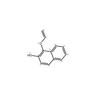 C=COc1c(O)ccc2ccccc12